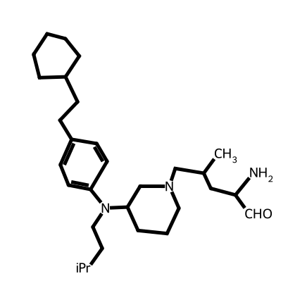 CC(C)CCN(c1ccc(CCC2CCCCC2)cc1)C1CCCN(CC(C)CC(N)C=O)C1